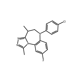 Cc1nnc2n1-c1cc(F)ccc1N(c1ccc(Cl)cc1)CC2C